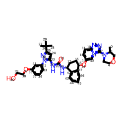 CC1COCCN1c1nnc2ccc(O[C@@H]3CC[C@H](NC(=O)Nc4cc(C(C)(C)C)nn4-c4cccc(OCCO)c4)c4ccccc43)cn12